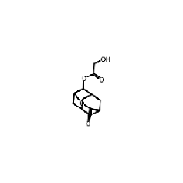 O=C(CO)OC1C2CC3CC(C2)C(=O)OC1C3